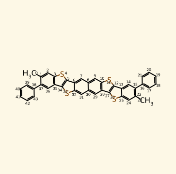 Cc1cc2sc3c4cc5cc6sc7c8cc(-c9ccccc9)c(C)cc8sc7c6cc5cc4sc3c2cc1-c1ccccc1